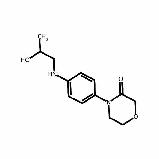 CC(O)CNc1ccc(N2CCOCC2=O)cc1